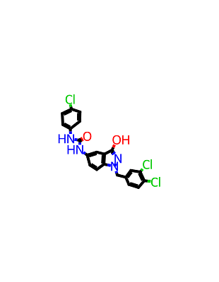 O=C(Nc1ccc(Cl)cc1)Nc1ccc2c(c1)c(O)nn2Cc1ccc(Cl)c(Cl)c1